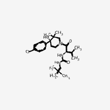 CC(C)[C@@H](NC(=O)NCC(C)(C)C)C(=O)N1CC[C@](O)(c2ccc(Cl)cc2)C(C)(C)C1